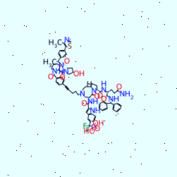 Cc1ncsc1-c1ccc([C@H](C)NC(=O)[C@@H]2C[C@@H](O)CN2C(=O)[C@@H]2CCCCN2C(=O)c2ccc(C#CCCCN3CC[C@H]4CC[C@@H](C(=O)N[C@@H](CCC(N)=O)C(=O)NC(c5ccccc5)c5ccccc5)N4C(=O)[C@@H](NC(=O)c4cc5cc(C(F)(F)P(=O)(O)O)ccc5[nH]4)C3)cc2)cc1